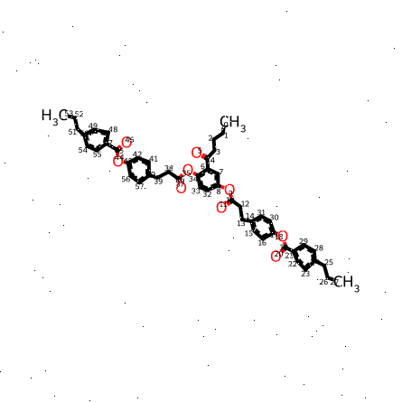 CCCCC(=O)c1cc(OC(=O)CCc2ccc(OC(=O)c3ccc(CCC)cc3)cc2)ccc1OC(=O)CCc1ccc(OC(=O)c2ccc(CCC)cc2)cc1